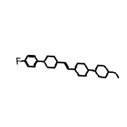 CCC1CCC(C2CCC(C=CC3CCC(c4ccc(F)cc4)CC3)CC2)CC1